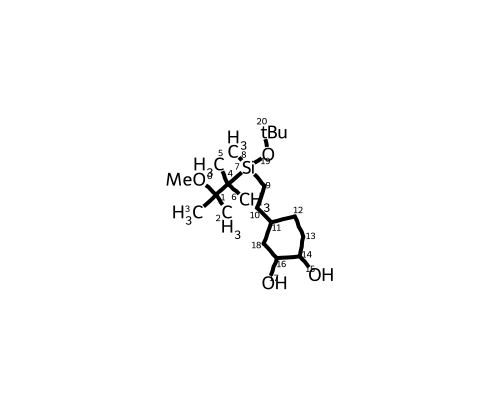 COC(C)(C)C(C)(C)[Si](C)(CCC1CCC(O)C(O)C1)OC(C)(C)C